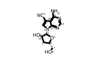 N#Cc1cn([C@@H]2O[C@H](CO)C[C@H]2O)c2ncnc(N)c12